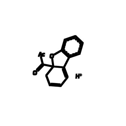 CC(=O)C(=O)C12CC=CC=C1c1ccccc1O2.[H+]